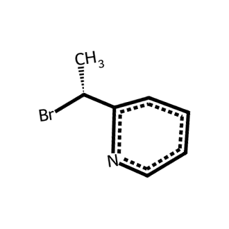 C[C@@H](Br)c1ccccn1